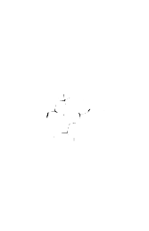 C=CC(=O)OC(C)(C)C.C=CC(=O)OCC(C)O